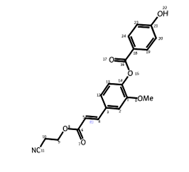 COc1cc(/C=C/C(=O)OCCC#N)ccc1OC(=O)c1ccc(O)cc1